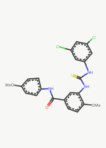 COc1ccc(NC(=O)c2ccc(OC)c(NC(=S)Nc3cc(Cl)cc(Cl)c3)c2)cc1